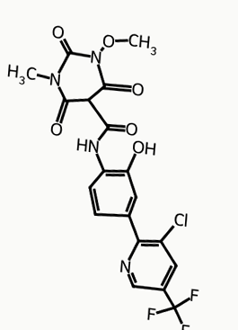 CON1C(=O)C(C(=O)Nc2ccc(-c3ncc(C(F)(F)F)cc3Cl)cc2O)C(=O)N(C)C1=O